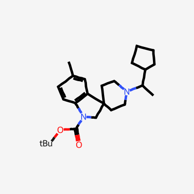 Cc1ccc2c(c1)C1(CCN(C(C)C3CCCC3)CC1)CN2C(=O)OC(C)(C)C